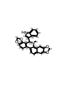 CN1c2c(ccc3cc4c(cc23)OCO4)-c2ccc3c(c2C1c1c[nH]c2ccccc12)OCO3